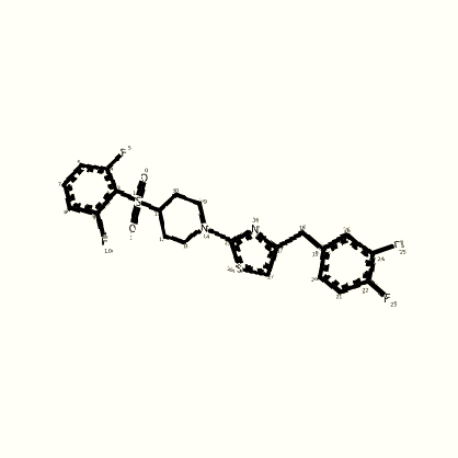 O=S(=O)(c1c(F)cccc1F)C1CCN(c2nc(Cc3ccc(F)c(Cl)c3)cs2)CC1